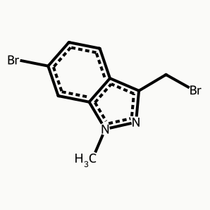 Cn1nc(CBr)c2ccc(Br)cc21